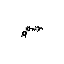 CCc1cnc(OCc2cn(-c3ccc(F)c(C)c3)nn2)nc1